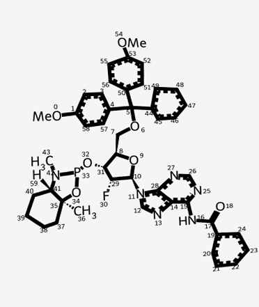 COc1ccc(C(OC[C@H]2O[C@@H](n3cnc4c(NC(=O)c5ccccc5)ncnc43)[C@H](F)[C@@H]2OP2O[C@@]3(C)CCCC[C@@H]3N2C)(c2ccccc2)c2ccc(OC)cc2)cc1